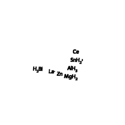 [AlH3].[BiH3].[Ce].[La].[MgH2].[SnH2].[Zn]